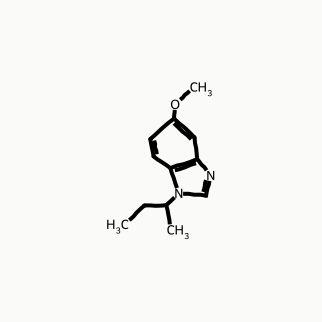 CCC(C)n1cnc2cc(OC)ccc21